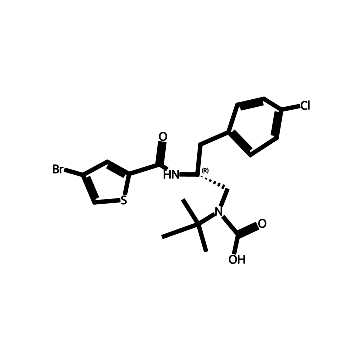 CC(C)(C)N(C[C@@H](Cc1ccc(Cl)cc1)NC(=O)c1cc(Br)cs1)C(=O)O